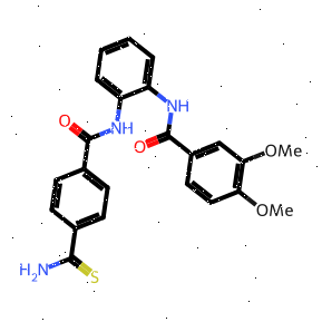 COc1ccc(C(=O)Nc2ccccc2NC(=O)c2ccc(C(N)=S)cc2)cc1OC